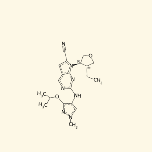 CC[C@H]1COC[C@@H]1n1c(C#N)cc2cnc(Nc3cn(C)nc3OC(C)C)nc21